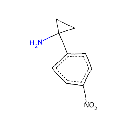 NC1(c2ccc([N+](=O)[O-])cc2)CC1